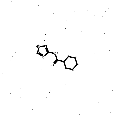 O=C(Oc1nc[nH]n1)C1CCCCC1